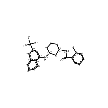 Cc1ccccc1C(=O)N[C@@H]1CCC[C@H](Nc2cc(C(F)(F)F)nc3ccccc23)C1